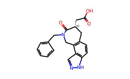 O=C(O)C[C@@H]1Cc2ccc3[nH]ncc3c2CN(Cc2ccccc2)C1=O